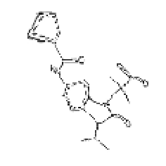 CC(C)C1C(=O)N(C(C)(C)P(=O)=O)c2cc(NC(=O)c3ccccc3)ccc21